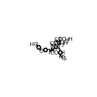 O=C(O)CN(CCN(Cc1ccc(N=C=S)cc1)CC(N(CC(=O)O)CC(=O)O)[N+](I)(I)[C@@](I)(Cc1ccc(Oc2ccc(O)cc2)cc1)C(=O)O)CC(=O)O